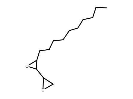 CCCCCCCCCCC1OC1C1CO1